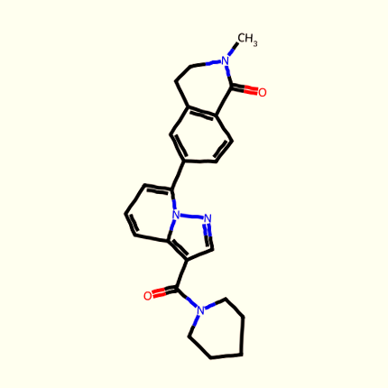 CN1CCc2cc(-c3cccc4c(C(=O)N5CCCCC5)cnn34)ccc2C1=O